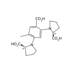 Cc1cc(C(=O)O)c(N2CCC[C@H]2C(=O)O)cc1N1CCC[C@H]1C(=O)O